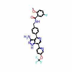 COc1ccc(F)cc1C(=O)NCc1ccc(-c2ncc(-c3ccc(OC(F)(F)F)cn3)c3[nH]nc(N)c23)cc1